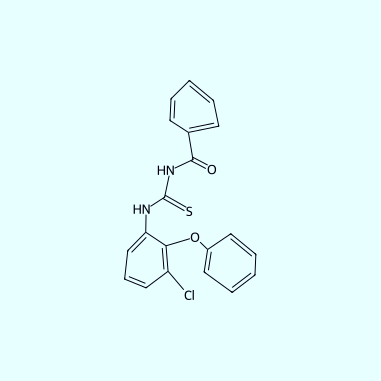 O=C(NC(=S)Nc1cccc(Cl)c1Oc1ccccc1)c1ccccc1